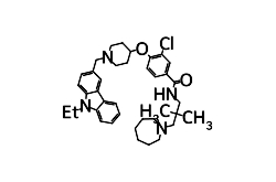 CCn1c2ccccc2c2cc(CN3CCC(Oc4ccc(C(=O)NCC(C)(C)CN5CCCCCC5)cc4Cl)CC3)ccc21